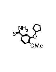 COc1ccc(C(N)=S)cc1OC1CCCC1